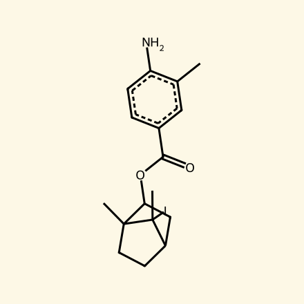 Cc1cc(C(=O)OC2CC3CCC2(C)C3(C)I)ccc1N